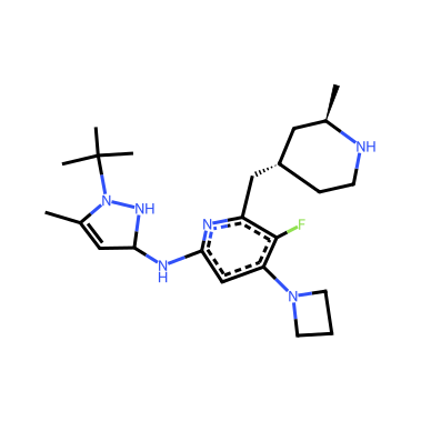 CC1=CC(Nc2cc(N3CCC3)c(F)c(C[C@H]3CCN[C@H](C)C3)n2)NN1C(C)(C)C